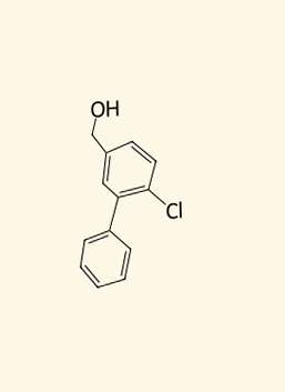 OCc1ccc(Cl)c(-c2ccccc2)c1